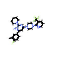 Cc1cc(C2=CC(N3CCN(c4ncccc4C(F)(F)F)CC3)=NC(N3CCCCC3)N2)ccc1F